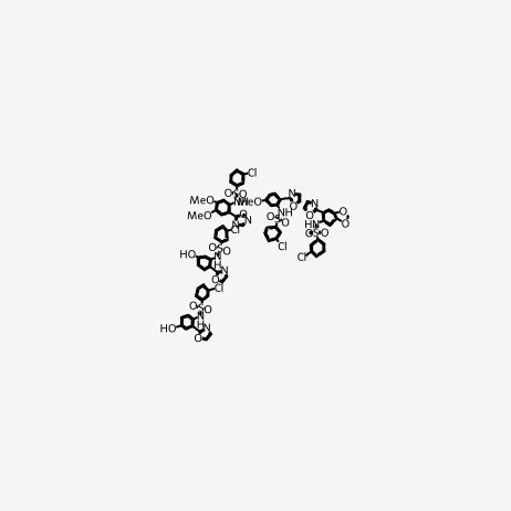 COc1cc(NS(=O)(=O)c2cccc(Cl)c2)c(-c2ncno2)cc1OC.COc1ccc(-c2ncco2)c(NS(=O)(=O)c2cccc(Cl)c2)c1.O=S(=O)(Nc1cc(O)ccc1-c1ncco1)c1cccc(Cl)c1.O=S(=O)(Nc1cc2c(cc1-c1ncco1)OCO2)c1cccc(Cl)c1.O=S(=O)(Nc1ccc(O)cc1-c1ncco1)c1cccc(Cl)c1